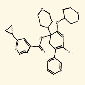 CC1=C(c2cccnc2)CC(NC(=O)c2ccnc(C3CC3)c2)(N2CCOCC2)C(OC2CCOCC2)=N1